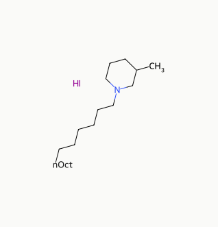 CCCCCCCCCCCCCCN1CCCC(C)C1.I